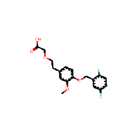 COc1cc(CCOCC(=O)O)ccc1OCc1cc(F)ccc1F